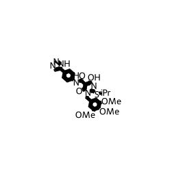 COc1cc(Cn2c(SC(C)C)nc(O)c(C(=O)Nc3ccc(-c4cnn[nH]4)cc3)c2=O)cc(OC)c1OC